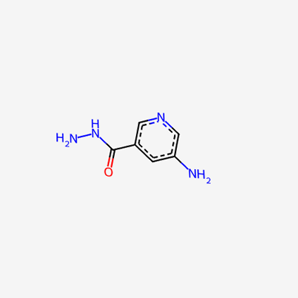 NNC(=O)c1cncc(N)c1